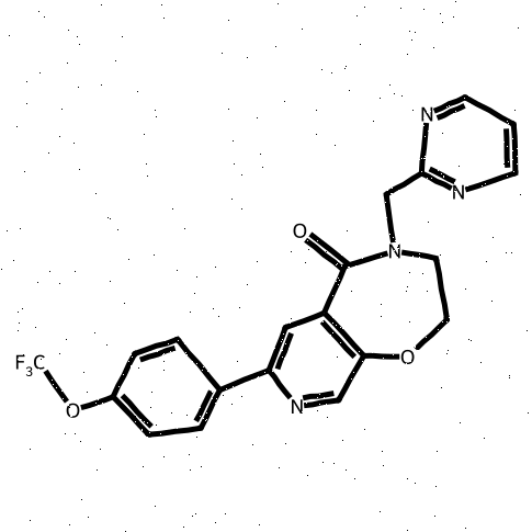 O=C1c2cc(-c3ccc(OC(F)(F)F)cc3)ncc2OCCN1Cc1ncccn1